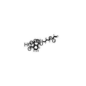 C=CC(=O)OCCCCOC(=O)c1cccc(C(=O)O)c1C(=O)O